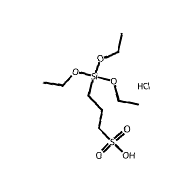 CCO[Si](CCCS(=O)(=O)O)(OCC)OCC.Cl